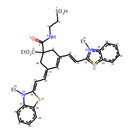 CCOC(=O)C1(C(=O)NCCS(=O)(=O)O)CC(/C=C/c2sc3ccccc3[n+]2CC)=CC(=C/C=C2\Sc3ccccc3N2CC)/C1